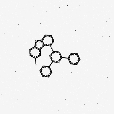 Brc1ccc2sc3cccc(-c4nc(-c5ccccc5)nc(-c5ccccc5)n4)c3c2c1